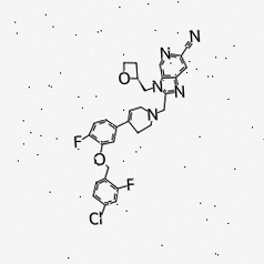 N#Cc1cc2nc(CN3CC=C(c4ccc(F)c(OCc5ccc(Cl)cc5F)c4)CC3)n(C[C@@H]3CCO3)c2cn1